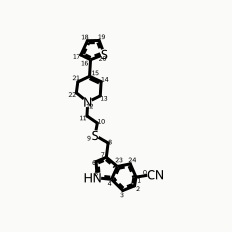 N#Cc1ccc2[nH]cc(CSCCN3CC=C(c4cccs4)CC3)c2c1